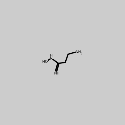 N=C(C[CH]N)NO